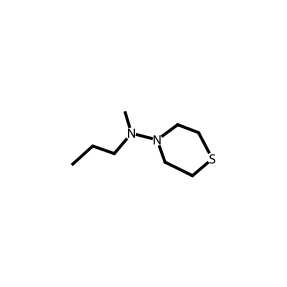 CCCN(C)N1CCSCC1